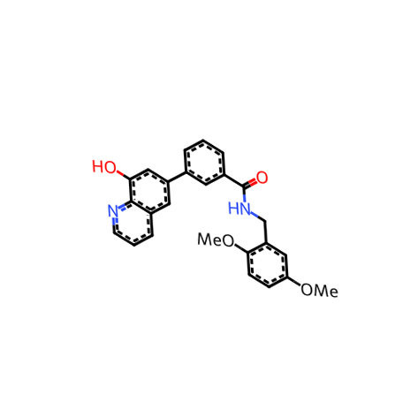 COc1ccc(OC)c(CNC(=O)c2cccc(-c3cc(O)c4ncccc4c3)c2)c1